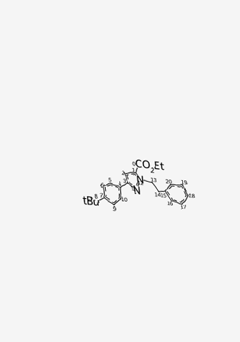 CCOC(=O)c1cc(-c2ccc(C(C)(C)C)cc2)nn1CCc1ccccc1